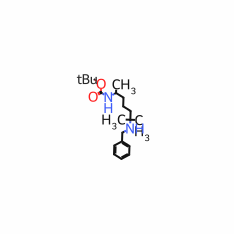 CC(CCCC(C)(C)NCc1ccccc1)NC(=O)OC(C)(C)C